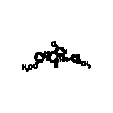 COc1cccc([C@@H](CO)Nc2nc(Nc3cnn(C)c3)ncc2Cl)c1